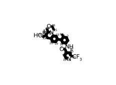 Cc1ccc(NC(=O)c2ccnc(C(F)(F)F)c2F)cc1-c1ccc2c(c1)N1CCOC[C@H]1[C@@](F)(CO)C2